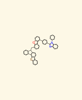 c1ccc(-n2c(-c3ccc(-c4cccc5oc6c(CC7c8ccccc8-c8c7ccc7c8sc8ccccc87)cccc6c45)cc3)nc3ccccc32)cc1